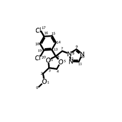 COCC1COC(Cn2cncn2)(c2ccc(Cl)cc2Cl)O1